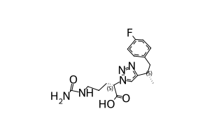 C[C@@H](Cc1ccc(F)cc1)c1cn([C@@H](CCCNC(N)=O)C(=O)O)nn1